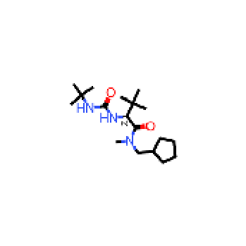 CN(CC1CCCC1)C(=O)[C@@H](NC(=O)NC(C)(C)C)C(C)(C)C